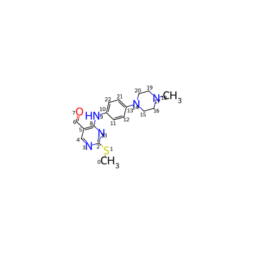 CSc1ncc(C=O)c(Nc2ccc(N3CCN(C)CC3)cc2)n1